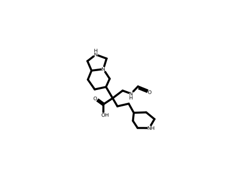 O=CNCC(CCC1CCNCC1)(C(=O)O)C1CCC2CNCN2C1